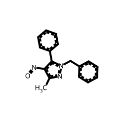 Cc1nn(Cc2ccccc2)c(-c2ccccc2)c1N=O